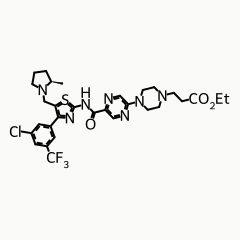 CCOC(=O)CCN1CCN(c2cnc(C(=O)Nc3nc(-c4cc(Cl)cc(C(F)(F)F)c4)c(CN4CCC[C@H]4C)s3)cn2)CC1